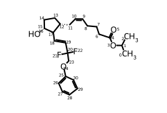 CC(C)OC(=O)CCC/C=C\C[C@H]1CC[C@@H](O)C1/C=C/C(F)(F)COc1ccccc1